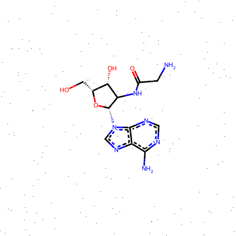 NCC(=O)NC1[C@@H](O)[C@@H](CO)O[C@H]1n1cnc2c(N)ncnc21